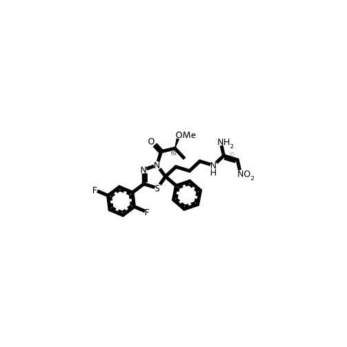 CO[C@@H](C)C(=O)N1N=C(c2cc(F)ccc2F)SC1(CCCN/C(N)=C\[N+](=O)[O-])c1ccccc1